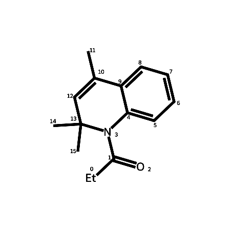 CCC(=O)N1c2ccccc2C(C)=CC1(C)C